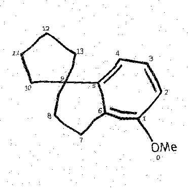 COc1cccc2c1CCC21CCCC1